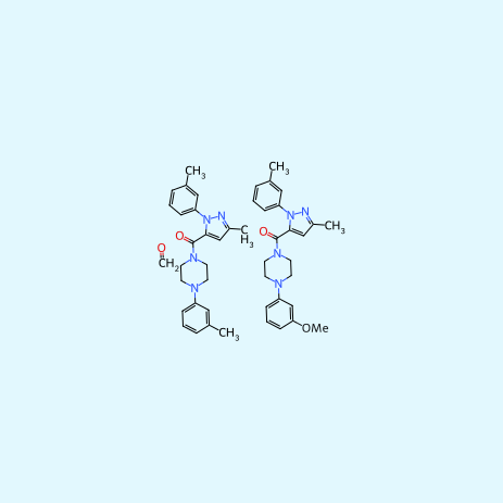 C=O.COc1cccc(N2CCN(C(=O)c3cc(C)nn3-c3cccc(C)c3)CC2)c1.Cc1cccc(N2CCN(C(=O)c3cc(C)nn3-c3cccc(C)c3)CC2)c1